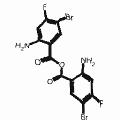 Nc1cc(F)c(Br)cc1C(=O)OC(=O)c1cc(Br)c(F)cc1N